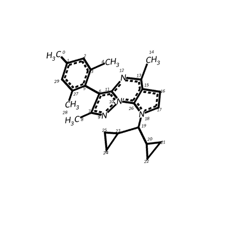 Cc1cc(C)c(-c2c(C)nn3c2nc(C)c2ccn(C(C4CC4)C4CC4)c23)c(C)c1